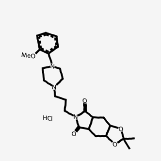 COc1ccccc1N1CCN(CCCN2C(=O)C3CC4OC(C)(C)OC4CC3C2=O)CC1.Cl